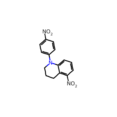 O=[N+]([O-])c1ccc(N2CCCc3c2cccc3[N+](=O)[O-])cc1